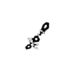 COC(=O)N(C(=O)c1ccccc1)c1ccc(OCc2nc3ccccc3o2)cc1C